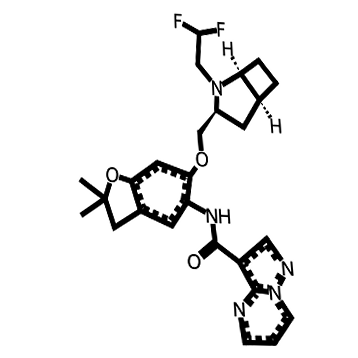 CC1(C)Cc2cc(NC(=O)c3cnn4cccnc34)c(OC[C@@H]3C[C@@H]4CC[C@@H]4N3CC(F)F)cc2O1